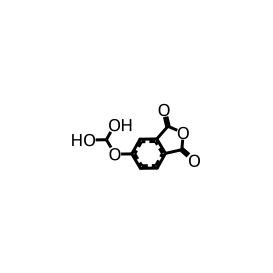 O=C1OC(=O)c2cc(OC(O)O)ccc21